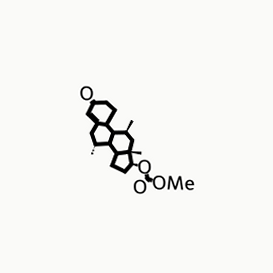 COC(=O)O[C@H]1CCC2C3C(C4CCC(=O)C=C4C[C@H]3C)[C@@H](C)C[C@@]21C